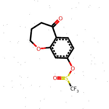 O=C1CCCOc2cc(OS(=O)C(F)(F)F)ccc21